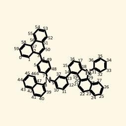 C1=CC2C(c3ccc(N(c4cccc(-c5cccc6c5c5ccc7ccccc7c5n6-c5ccccc5)c4)c4cccc5ccccc45)cc3)=Cc3ccccc3C2C=C1